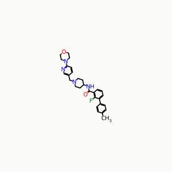 Cc1ccc(-c2cccc(C(=O)NC3CCN(Cc4ccc(N5CCOCC5)nc4)CC3)c2F)cc1